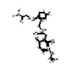 CCNC(=O)COc1ccc(Cl)cc1CNC(=O)Cc1c(C)ccn(NCC(C)C)c1=O